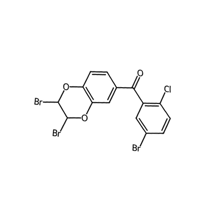 O=C(c1ccc2c(c1)OC(Br)C(Br)O2)c1cc(Br)ccc1Cl